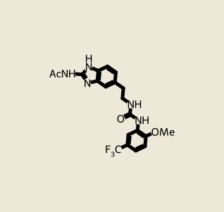 COc1ccc(C(F)(F)F)cc1NC(=O)NCCc1ccc2[nH]c(NC(C)=O)nc2c1